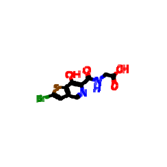 O=C(O)CNC(=O)c1ncc2cc(Br)sc2c1O